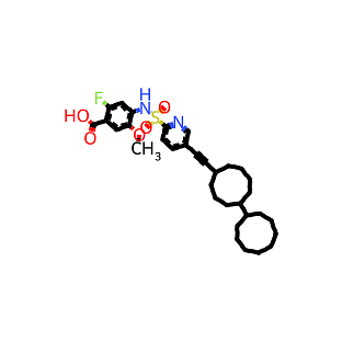 COc1cc(C(=O)O)c(F)cc1NS(=O)(=O)c1ccc(C#CC2CCCCC(C3CCCCCCCC3)CCC2)cn1